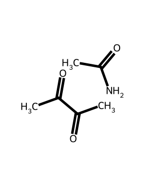 CC(=O)C(C)=O.CC(N)=O